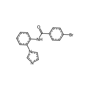 O=C(Nc1ccccc1-n1ccnc1)c1ccc(Br)cc1